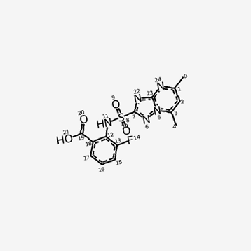 Cc1cc(C)n2nc(S(=O)(=O)Nc3c(F)cccc3C(=O)O)nc2n1